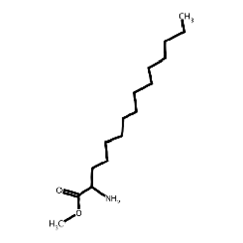 CCCCCCCCCCCCCC(N)C(=O)OC